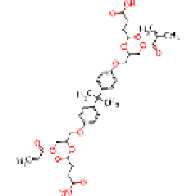 C=CC(=O)OCC(COc1ccc(C(C)(C)c2ccc(OCC(COC(=O)C(=C)C)OC(=O)CCC(=O)O)cc2)cc1)OC(=O)CCC(=O)O